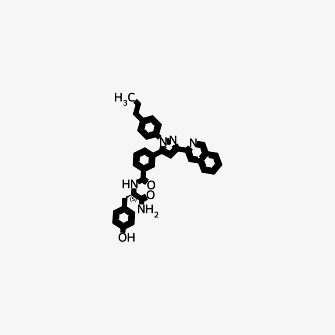 CCCc1ccc(-n2nc(-c3cc4ccccc4cn3)cc2-c2cccc(C(=O)N[C@@H](Cc3ccc(O)cc3)C(N)=O)c2)cc1